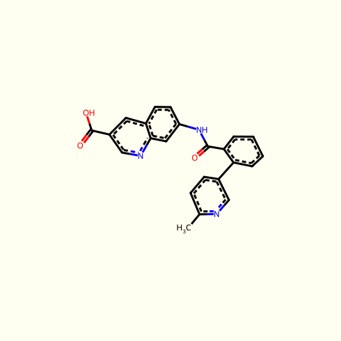 Cc1ccc(-c2ccccc2C(=O)Nc2ccc3cc(C(=O)O)cnc3c2)cn1